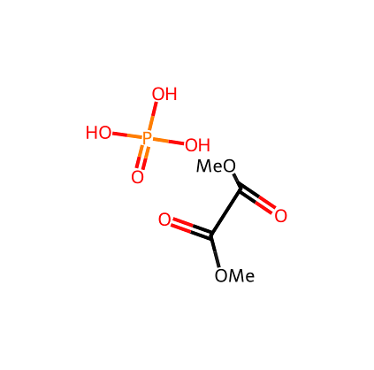 COC(=O)C(=O)OC.O=P(O)(O)O